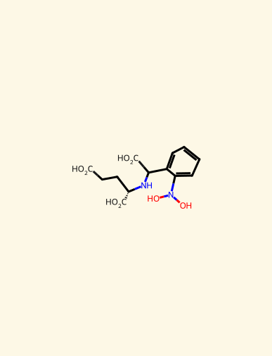 O=C(O)CC[C@H](NC(C(=O)O)c1ccccc1N(O)O)C(=O)O